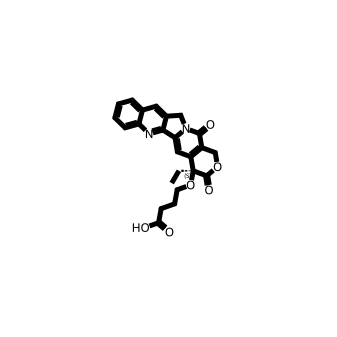 CC[C@@]1(OCCCC(=O)O)C(=O)OCc2c1cc1n(c2=O)Cc2cc3ccccc3nc2-1